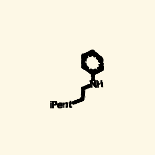 CCCC(C)CCNc1ccccc1